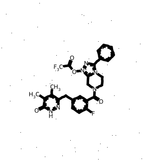 Cc1c(Cc2ccc(F)c(C(=O)N3CCn4c(-c5ccccc5)n[n+](OC(=O)C(F)(F)F)c4C3)c2)n[nH]c(=O)c1C